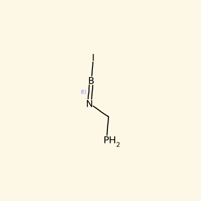 PC/N=B/I